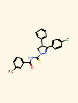 O=C(NC(=S)N1CC(c2ccccc2)C(c2ccc(Cl)cc2)=N1)c1cccc(C(F)(F)F)c1